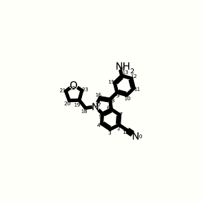 N#Cc1ccc2c(c1)c(-c1cccc(N)c1)cn2CC1CCOC1